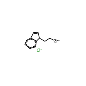 [Cl-].[Zr+][CH2]CC1C=Cc2ccccc21